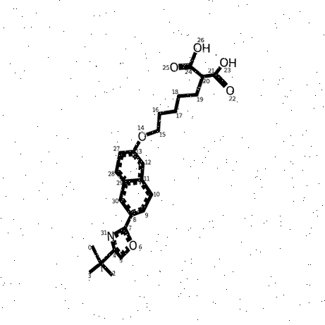 CC(C)(C)c1coc(-c2ccc3cc(OCCCCCC(C(=O)O)C(=O)O)ccc3c2)n1